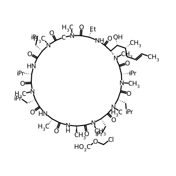 C/C=C/C[C@@H](C)[C@@H](O)[C@H]1C(=O)N[C@@H](CC)C(=O)N(C)CC(=O)N(C)[C@@H](CC(C)C)C(=O)N[C@@H](C(C)C)C(=O)N(C)[C@@H](CC(C)C)C(=O)N[C@@H](C)C(=O)N[C@H](C)C(=O)N(C)[C@@H](CC(C)C)C(=O)N(C)[C@@H](CC(C)C)C(=O)N(C)[C@@H](C(C)C)C(=O)N1C.O=C(O)OCCl